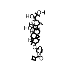 C[C@@H]1C[C@H]([C@H](O)C(C)(C)O)O[C@H]2C1[C@@]1(C)CC[C@@]34CC35CCC(OC3CN(C(=O)C6CCC6)CCO3)C(C)(C)[C@@H]5CC[C@H]4[C@]1(C)[C@H]2O